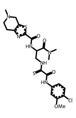 COc1cc(NC(=O)C(=S)NCC(NC(=O)c2nc3c(s2)CN(C)CC3)C(=O)N(C)C)ccc1Cl